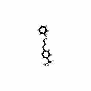 O=C(O)c1ccc(CCCOc2ccccc2)cc1